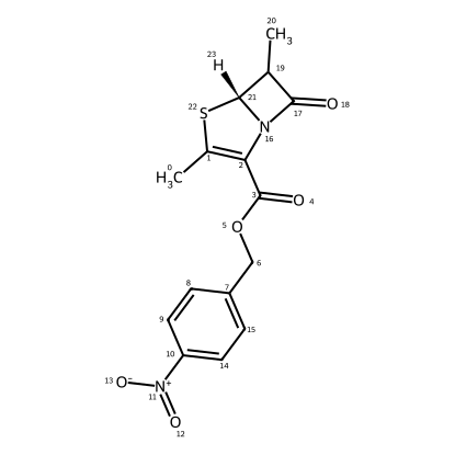 CC1=C(C(=O)OCc2ccc([N+](=O)[O-])cc2)N2C(=O)C(C)[C@H]2S1